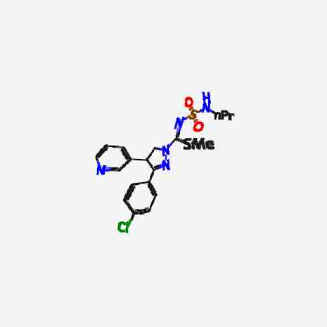 CCCNS(=O)(=O)N=C(SC)N1CC(c2cccnc2)C(c2ccc(Cl)cc2)=N1